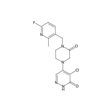 Cc1nc(F)ccc1CN1CCN(c2cn[nH]c(=O)c2Cl)CC1=O